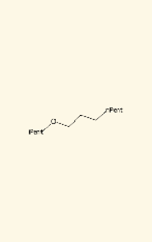 [CH2]CCC(C)OCCCCCCCC